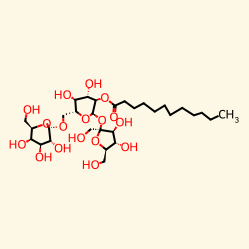 CCCCCCCCCCCC(=O)O[C@H]1[C@@H](O[C@]2(CO)O[C@H](CO)[C@@H](O)[C@@H]2O)O[C@H](CO[C@H]2O[C@H](CO)[C@H](O)[C@H](O)[C@H]2O)[C@@H](O)[C@@H]1O